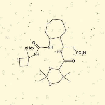 CCCCCCC1(NC(=O)NC2CCCCCC2C(CC(=O)O)NC(=O)C2OC(C)(C)OCC2(C)C)CCC1